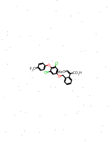 CO/C=C(/C(=O)O)c1ccccc1COc1cc(Cl)c(Oc2ccc(C(F)(F)F)cc2)c(Cl)c1